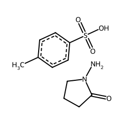 Cc1ccc(S(=O)(=O)O)cc1.NN1CCCC1=O